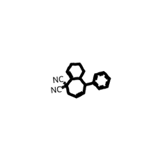 N#CC1(C#N)CC=CC(c2ccccc2)C2CCCC=C21